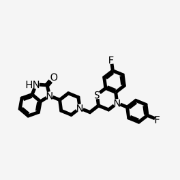 O=c1[nH]c2ccccc2n1C1CCN(CC2CN(c3ccc(F)cc3)c3ccc(F)cc3S2)CC1